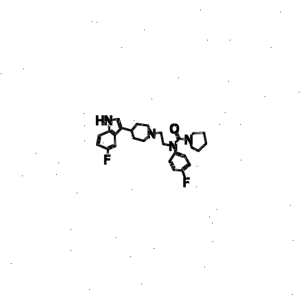 O=C(N1CCCCC1)N(CCN1CCC(c2c[nH]c3ccc(F)cc23)CC1)c1ccc(F)cc1